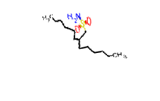 CCCCCCC(CCCCCC)CS(N)(=O)=O